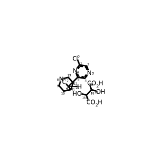 Clc1cncc([C@H]2CN3CCC2CC3)n1.O=C(O)C(O)C(O)C(=O)O